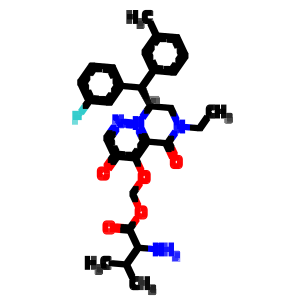 CCN1C[C@H](C(c2cccc(C)c2)c2cccc(F)c2)n2ncc(=O)c(OCOC(=O)C(N)C(C)C)c2C1=O